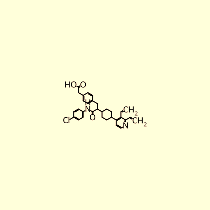 C=Cc1nccc(C2CCC(C(Cc3ccc(CC(=O)O)cc3)C(=O)Nc3ccc(Cl)cc3)CC2)c1C=C